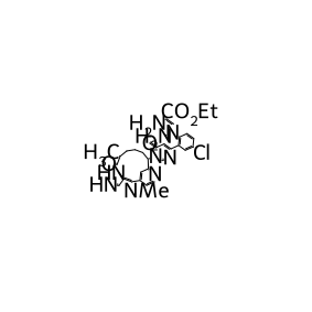 CCOC(=O)/C(N)=C/N(N)c1ccc(Cl)cc1-c1cc(=O)n(C2CCCC(C)C(=O)N/C(C=N)=C(/NC)c3ccnc2c3)cn1